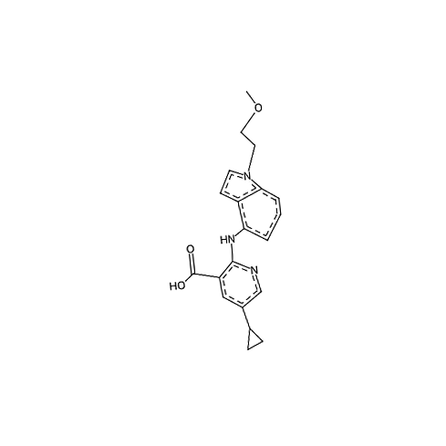 COCCn1ccc2c(Nc3ncc(C4CC4)cc3C(=O)O)cccc21